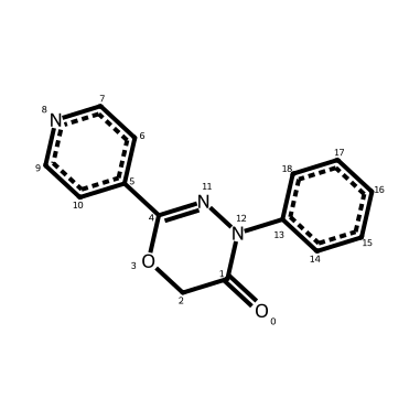 O=C1COC(c2ccncc2)=NN1c1ccccc1